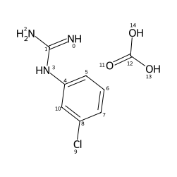 N=C(N)Nc1cccc(Cl)c1.O=C(O)O